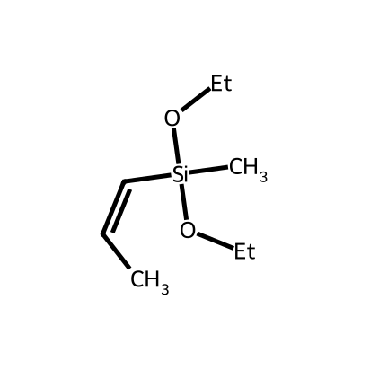 C/C=C\[Si](C)(OCC)OCC